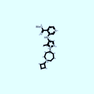 COC(=O)c1ccncc1Nc1cnn([C@H]2CCCN(C3CCC3)CC2)c1C